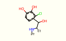 CCC(NC(C)C)C(O)c1ccc(O)c(O)c1Cl